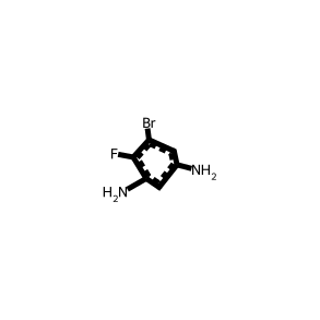 Nc1cc(N)c(F)c(Br)c1